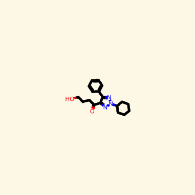 O=C(CCCO)c1nn(C2CCCCC2)nc1-c1ccccc1